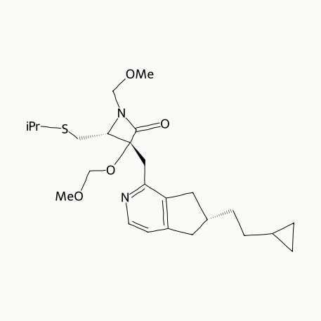 COCO[C@@]1(Cc2nccc3c2C[C@H](CCC2CC2)C3)C(=O)N(COC)[C@H]1CSC(C)C